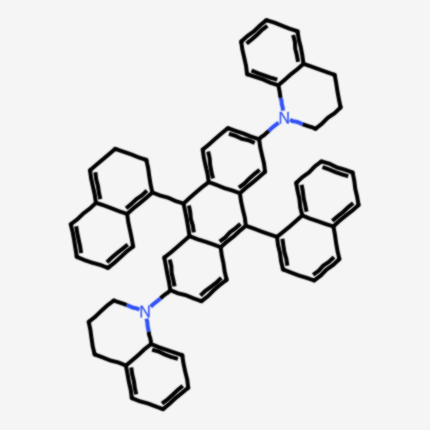 C1=c2ccccc2=C(c2c3cc(N4CCCc5ccccc54)ccc3c(-c3cccc4ccccc34)c3cc(N4CCCc5ccccc54)ccc23)CC1